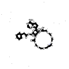 N#C[C@@]1(c2ccc3c(N)ncnn23)O[C@H](COC(=O)Cc2ccccc2)[C@H]2OC(=O)CCCCCC/C=C\CCCCCCC(=O)O[C@H]21